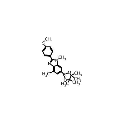 CSc1ccc(-c2nc3c(C)cc(B4OC(C)(C)C(C)(C)O4)cc3n2C)cc1